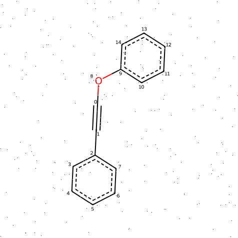 C(#Cc1ccccc1)Oc1ccccc1